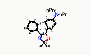 CCCN(CCC)c1ccc(C2OC(C)(C)N=C2c2ccccc2)cc1